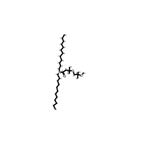 CCCCCCCCCCCCN(CCCCCCCCCCCC)C(=O)CC(C)(C)OCC(C)(C)OC